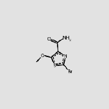 COc1sc(Br)nc1C(N)=O